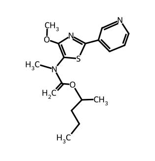 C=C(OC(C)CCC)N(C)c1sc(-c2cccnc2)nc1OC